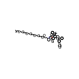 C=C(C)COCCOCCOCCOCCOCCOCCOC(=O)CCC1CCCN(c2cc3c4c(c5c(c3cc2OC)OC(c2ccccc2)(c2ccc(N3CCOCC3)cc2)CC5)C(C)(C)c2ccccc2-4)/C1=C\C(=O)O